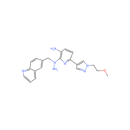 COCCn1cc(-c2ccc(N)c(N(N)Cc3ccc4ncccc4c3)n2)cn1